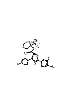 NC(=O)C1([CH]C(=O)c2nc(-c3ccc(F)c(F)c3)sc2-c2ccc(F)cc2)CCCCN1